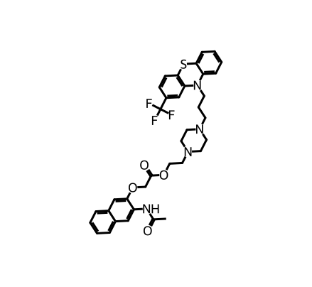 CC(=O)Nc1cc2ccccc2cc1OCC(=O)OCCN1CCN(CCCN2c3ccccc3Sc3ccc(C(F)(F)F)cc32)CC1